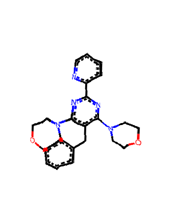 c1ccc(Cc2c(N3CCOCC3)nc(-c3ccccn3)nc2N2CCOCC2)cc1